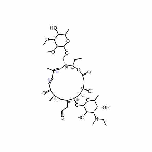 CC[C@H]1OC(=O)C[C@@H](O)[C@H](C)[C@@H](OC2OC(C)C(O)C(N(C)CC)C2O)[C@@H](CC=O)C[C@@H](C)C(=O)/C=C/C(C)=C/[C@@H]1COC1OC(C)C(O)C(OC)C1OC